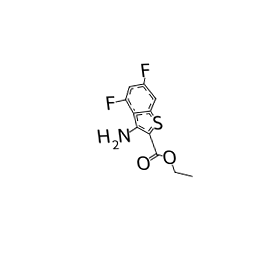 CCOC(=O)c1sc2cc(F)cc(F)c2c1N